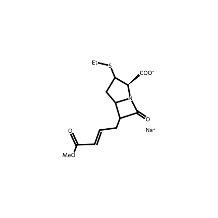 CCSC1CC2C(CC=CC(=O)OC)C(=O)N2[C@@H]1C(=O)[O-].[Na+]